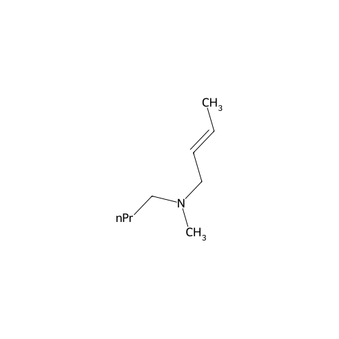 C/C=C/CN(C)CCCC